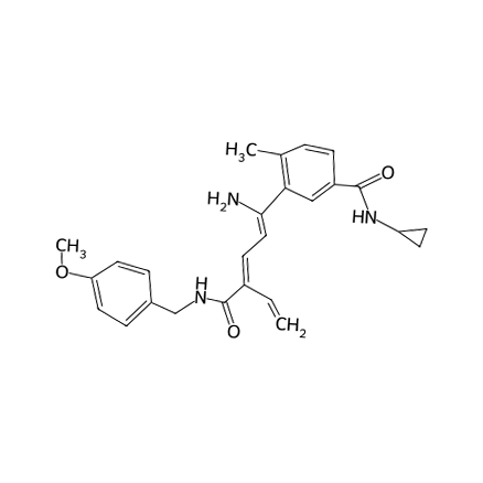 C=C/C(=C\C=C(/N)c1cc(C(=O)NC2CC2)ccc1C)C(=O)NCc1ccc(OC)cc1